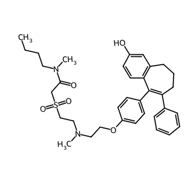 CCCCN(C)C(=O)CS(=O)(=O)CCN(C)CCOc1ccc(C2=C(c3ccccc3)CCCc3cc(O)ccc32)cc1